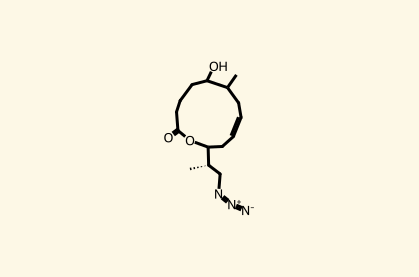 CC1CC=CCC([C@@H](C)CN=[N+]=[N-])OC(=O)CCCC1O